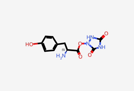 N[C@@H](Cc1ccc(O)cc1)C(=O)On1[nH]c(=O)[nH]c1=O